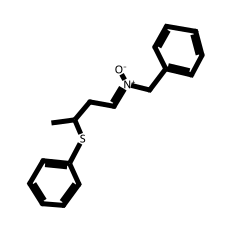 CC(CC=[N+]([O-])Cc1ccccc1)Sc1ccccc1